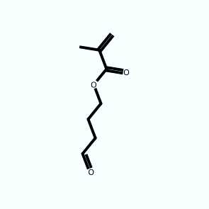 C=C(C)C(=O)OCCCC=O